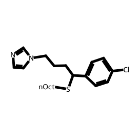 CCCCCCCCSC(CCCn1ccnc1)c1ccc(Cl)cc1